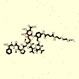 CC[C@H](C)[C@@H]([C@@H](CC(=O)N1CCC[C@H]1[C@H](OC)[C@@H](C)C(=O)N[C@H](C)[C@@H](O)c1ccccc1)OC)N(C)C(=O)[C@@H](NC(=O)[C@H](C(C)C)N(C)C(=O)OCc1cc(NC(=O)CCC(=O)NCCOCCON)ccc1O[C@@H]1OC(C(=O)O)[C@@H](O)[C@H](O)C1O)C(C)C